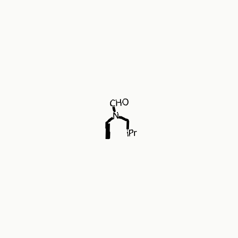 C=CN(C=O)CC(C)C